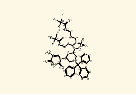 Cc1cn(C2CN(C(c3ccccc3)(c3ccccc3)c3ccccc3)CC(COP(=O)(Cl)N(CCCNC(=O)C(F)(F)F)CCCNC(=O)C(F)(F)F)O2)c(=O)[nH]c1=O